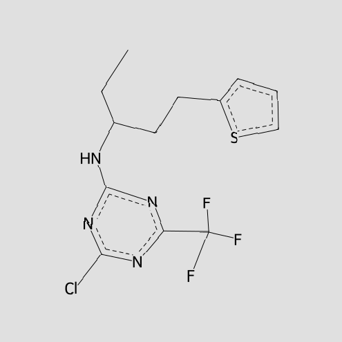 CCC(CCc1cccs1)Nc1nc(Cl)nc(C(F)(F)F)n1